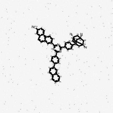 N#Cc1ccc2c(ccc3cc(-c4nc(-c5ccc(-c6ccc7ccccc7c6)cc5)nc(-c5ccc(C67C[C@H]8C[C@H](C6)C[C@@H](C7)C8)cc5)n4)ccc32)c1